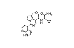 NC(=O)C(NC1=COCC2=C3C1=CN=C(c1ccnc4[nH]cnc14)N3CC2)C1CC1